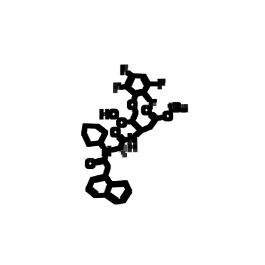 C[C@@H](C(=O)NC(CC(=O)OC(C)(C)C)C(COc1c(F)c(F)cc(F)c1F)OO)N(C(=O)Cc1cccc2ccccc12)C1CCCCC1